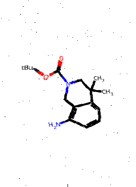 CC(C)(C)OC(=O)N1Cc2c(N)cccc2C(C)(C)C1